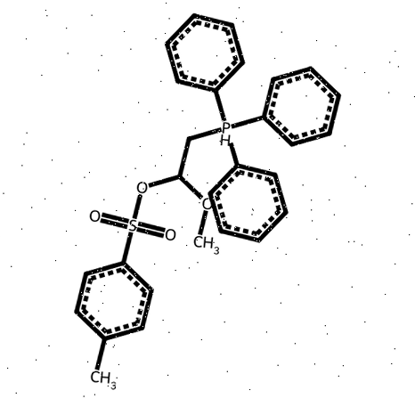 COC(C[PH](c1ccccc1)(c1ccccc1)c1ccccc1)OS(=O)(=O)c1ccc(C)cc1